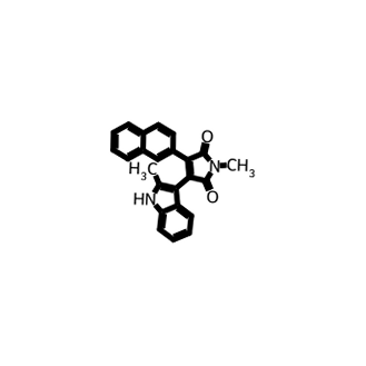 Cc1[nH]c2ccccc2c1C1=C(c2ccc3ccccc3c2)C(=O)N(C)C1=O